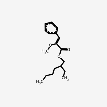 CCCCC(CC)COC(=O)C(=Cc1ccccc1)OC